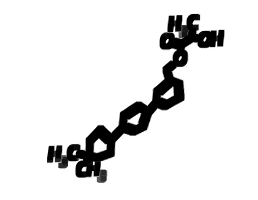 CC(O)C(=O)OCc1cccc(-c2ccc(C3=CCC(C)(C)CC3)cc2)c1